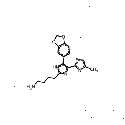 Cc1csc(-c2nc(CCCCN)[nH]c2-c2ccc3c(c2)OCO3)n1